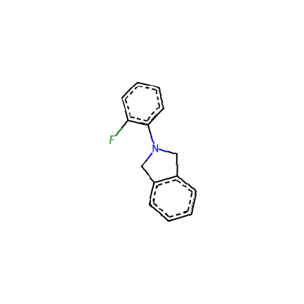 Fc1ccccc1N1Cc2ccccc2C1